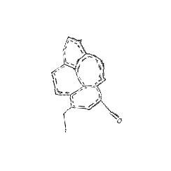 CCc1cc(C=O)c2ccc3cccc4ccc1c2c34